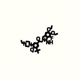 CCOc1cc2c(c(F)c1OCC)C(=N)N(CC(=O)c1cc(N3CCN(CC)CC3)c(OC)c(C(C)(C)C)c1)C2